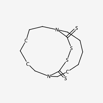 S=C1SSC(=S)N2CCCCCCN1CCCCCC2